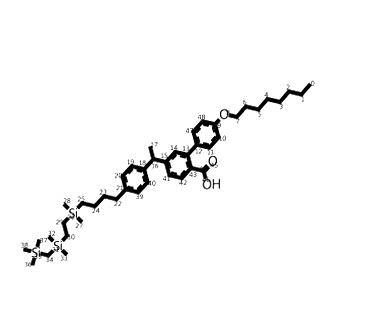 CCCCCCCCOc1ccc(-c2cc(C(C)c3ccc(CCCC[Si](C)(C)CC[Si](C)(C)C[Si](C)(C)C)cc3)ccc2C(=O)O)cc1